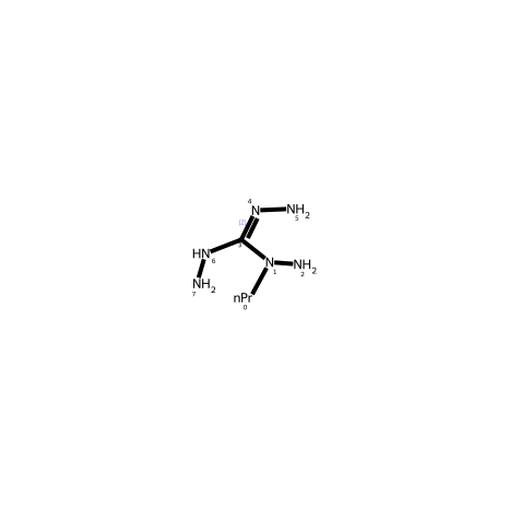 CCCN(N)/C(=N\N)NN